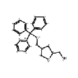 OCC1CC(COC(c2ccccc2)(c2ccccc2)c2ccccc2)CO1